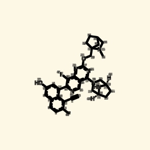 C#Cc1c(F)ccc2cc(O)cc(-c3ncc4c(N5C[C@H]6CC[C@@H](C5)N6)nc(OCC56CCC(CN5C)C6)nc4c3F)c12